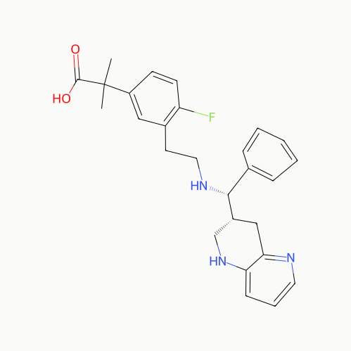 CC(C)(C(=O)O)c1ccc(F)c(CCN[C@H](c2ccccc2)[C@H]2CNc3cccnc3C2)c1